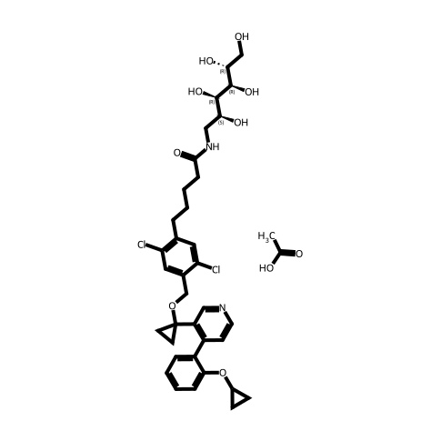 CC(=O)O.O=C(CCCCc1cc(Cl)c(COC2(c3cnccc3-c3ccccc3OC3CC3)CC2)cc1Cl)NC[C@H](O)[C@@H](O)[C@H](O)[C@H](O)CO